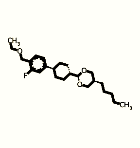 CCCCC[C@H]1CO[C@H]([C@H]2CC[C@H](c3ccc(COCC)c(F)c3)CC2)OC1